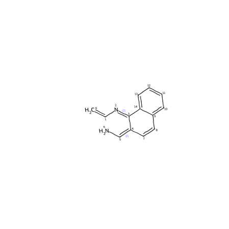 C=C/N=C1\C(=C/N)C=Cc2ccccc21